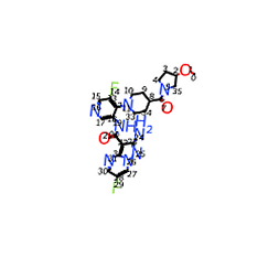 COC1CCN(C(=O)C2CCN(c3c(F)cncc3NC(=O)c3c(N)nn4cc(F)cnc34)CC2)C1